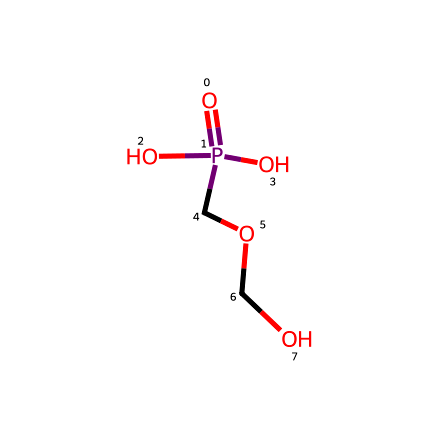 O=P(O)(O)COCO